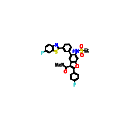 CCS(=O)(=O)Nc1cc2oc(-c3ccc(F)cc3)c(C(=O)NC)c2cc1-c1cccc(-c2nc3ccc(F)cc3s2)c1